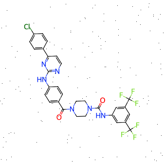 O=C(Nc1cc(C(F)(F)F)cc(C(F)(F)F)c1)N1CCN(C(=O)c2ccc(Nc3nccc(-c4ccc(Cl)cc4)n3)cc2)CC1